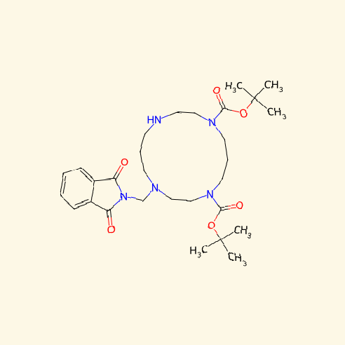 CC(C)(C)OC(=O)N1CCCN(C(=O)OC(C)(C)C)CCN(CN2C(=O)c3ccccc3C2=O)CCCNCC1